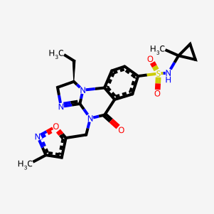 CC[C@@H]1CN=C2N(Cc3cc(C)no3)C(=O)c3cc(S(=O)(=O)NC4(C)CC4)ccc3N21